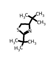 CC(C)(C)C1=NC(C(C)(C)C)CS1